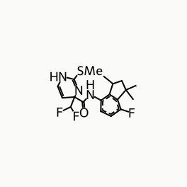 CSC1=NC(C(=O)Nc2ccc(F)c3c2C(C)CC3(C)C)(C(F)F)C=CN1